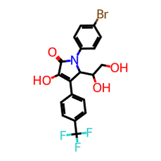 O=C1C(O)=C(c2ccc(C(F)(F)F)cc2)C(C(O)CO)N1c1ccc(Br)cc1